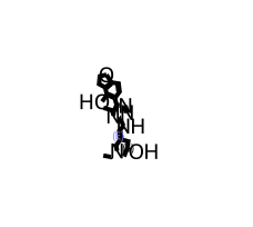 CCN1C/C(=C/Nc2nnc(-c3ccc4c(c3O)CCO4)c(C)n2)C[C@H](O)C1